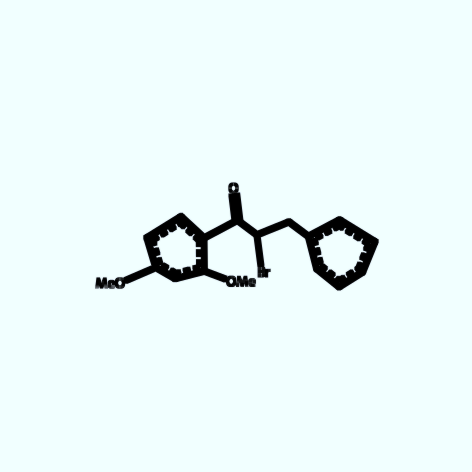 COc1ccc(C(=O)C(Br)Cc2ccccc2)c(OC)c1